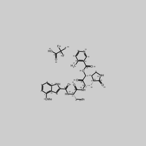 COc1cccc2[nH]c(C(=O)N[C@@H](CC(C)C)C(=O)N[C@@H](C[C@@H]3CCNC3=O)C(=O)COC(=O)c3cnccc3C)cc12.O=C(O)C(F)(F)F